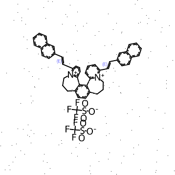 C(=C\c1cccc2[n+]1CCCc1ccc3c(c1-2)-c1cccc(/C=C/c2ccc4ccccc4c2)[n+]1CCC3)/c1ccc2ccccc2c1.O=S(=O)([O-])C(F)(F)F.O=S(=O)([O-])C(F)(F)F